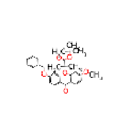 COc1ccc(C(=O)c2ccc(OCc3ccccc3)cc2)c(OC(C)(C)C(=O)OC(C)(C)C)c1